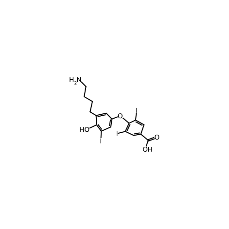 NCCCCc1cc(Oc2c(I)cc(C(=O)O)cc2I)cc(I)c1O